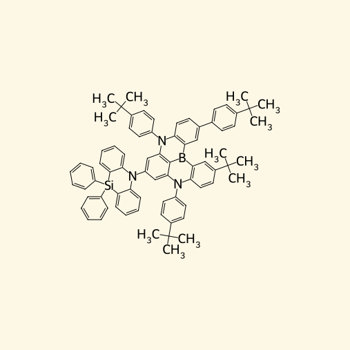 CC(C)(C)c1ccc(-c2ccc3c(c2)B2c4cc(C(C)(C)C)ccc4N(c4ccc(C(C)(C)C)cc4)c4cc(N5c6ccccc6[Si](c6ccccc6)(c6ccccc6)c6ccccc65)cc(c42)N3c2ccc(C(C)(C)C)cc2)cc1